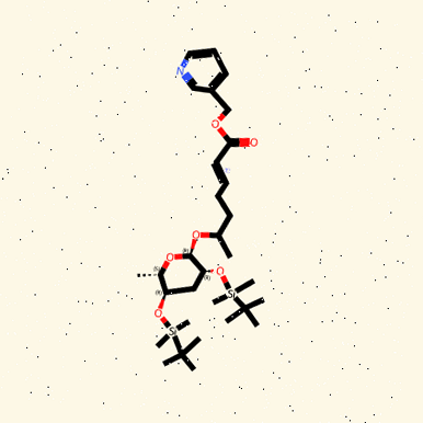 CC(CC/C=C/C(=O)OCc1cccnc1)O[C@@H]1O[C@@H](C)[C@H](O[Si](C)(C)C(C)(C)C)C[C@H]1O[Si](C)(C)C(C)(C)C